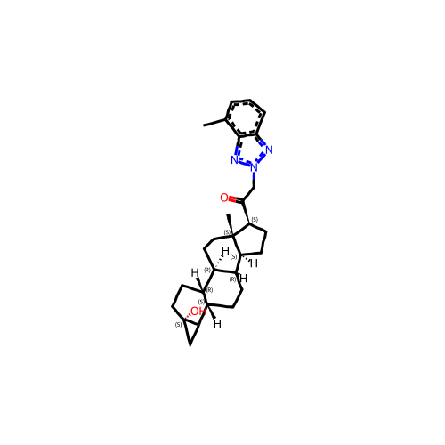 Cc1cccc2nn(CC(=O)[C@H]3CC[C@H]4[C@@H]5CC[C@@H]6C7C[C@@]7(O)CC[C@@H]6[C@H]5CC[C@]34C)nc12